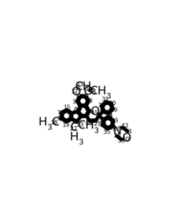 COc1cc2c3c(c4c(c2cc1OC)-c1ccc(C)cc1C4(C)C)C=CC(c1ccccc1)(c1ccc(N2CCOCC2)cc1)O3